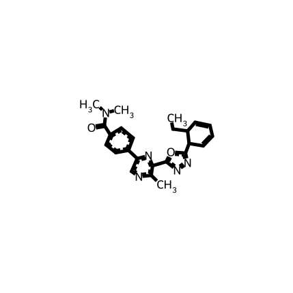 CCC1C=CC=CC1c1nnc(-c2nc(-c3ccc(C(=O)N(C)C)cc3)cnc2C)o1